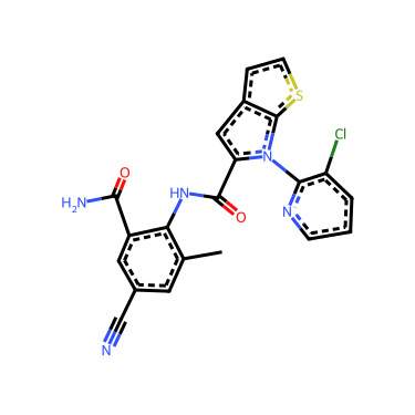 Cc1cc(C#N)cc(C(N)=O)c1NC(=O)c1cc2ccsc2n1-c1ncccc1Cl